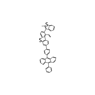 C=Cc1c(-c2c(C)sc3ccccc23)ccc2sc3cc(-c4ccc(-c5c6ccccc6c(-c6ccccc6)c6ccccc56)cc4)ccc3c12